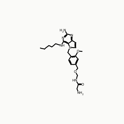 CCCCCNc1nc(N)nc2ccn(Cc3ccc(COCNC(=O)CN)cc3OC)c12